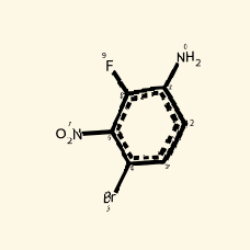 Nc1ccc(Br)c([N+](=O)[O-])c1F